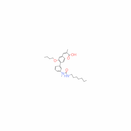 CCCCCCCNC(=O)N(C)c1cccc(-c2ccc(C=C(C)C(=O)O)cc2OCCCC)c1